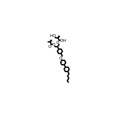 C=C(C)C(=O)OCC(COC(O)C(=C)CO)C1CCC(COC2CCC(C3CCC(CCCCC)CC3)CC2)CC1